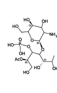 CC(=O)O[C@H](CO)C(OP(=O)(O)O)C(O[C@H]1OC(CO)[C@@H](O)C(O)C1N)[C@@H](O)C(C)O